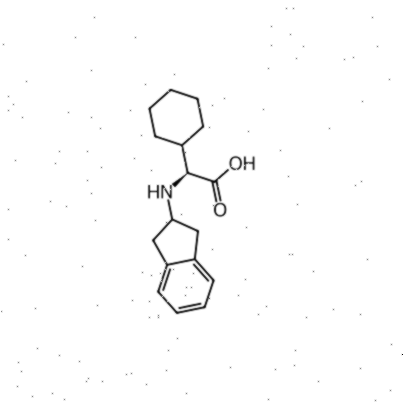 O=C(O)[C@@H](NC1Cc2ccccc2C1)C1CCCCC1